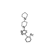 CC(=O)c1ccccc1-c1nnc(N2CCC(N3CCCCC3)CC2)s1